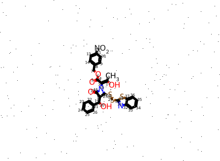 CC(O)=C(C(=O)OCc1ccc([N+](=O)[O-])cc1)N1C(=O)C(C(O)c2ccccc2)[C@H]1SSc1nc2ccccc2s1